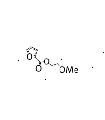 COCCOC(=O)c1ccco1